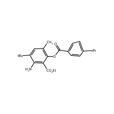 CCCc1ccc(C(=O)Oc2c(C)cc(C(C)(C)C)c(N)c2C(=O)OCC)cc1